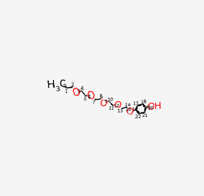 CCCOCCOCCOCCOCCOc1ccc(O)cc1